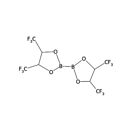 FC(F)(F)C1OB(B2OC(C(F)(F)F)C(C(F)(F)F)O2)OC1C(F)(F)F